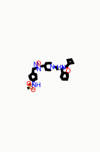 CS(=O)(=O)Nc1ccc(Cc2noc(C3CCN(CC[C@H](NC(=O)C4CCC4)c4ccccc4)CC3)n2)cc1